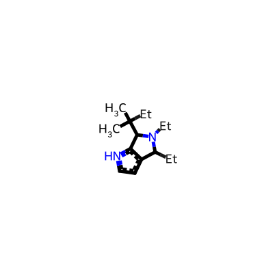 CCC1c2cc[nH]c2C(C(C)(C)CC)N1CC